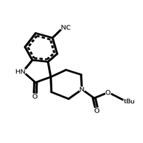 [C-]#[N+]c1ccc2c(c1)C1(CCN(C(=O)OC(C)(C)C)CC1)C(=O)N2